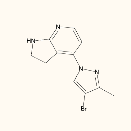 Cc1nn(-c2ccnc3c2CCN3)cc1Br